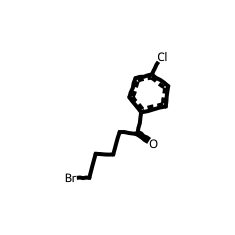 O=C(CCCCBr)c1ccc(Cl)cc1